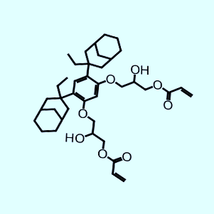 C=CC(=O)OCC(O)COc1cc(OCC(O)COC(=O)C=C)c(C2(CC)CC3CCCC(C3)C2)cc1C1(CC)CC2CCCC(C2)C1